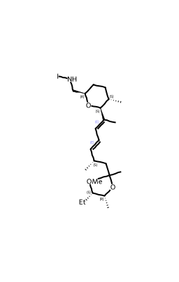 CC[C@H](OC)[C@@H](C)OC(C)(C)C[C@H](C)/C=C/C=C(\C)[C@H]1O[C@@H](CNI)CC[C@@H]1C